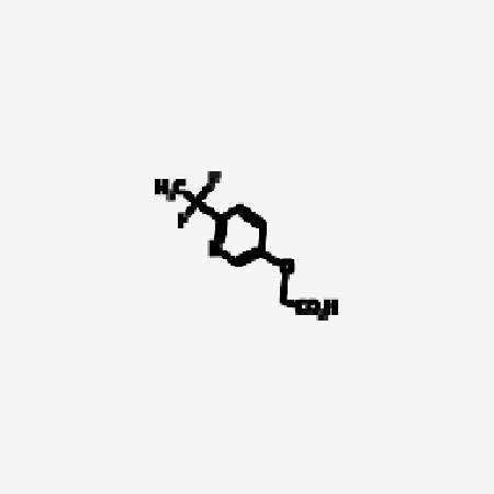 CC(F)(F)c1ccc(OCC(=O)O)cn1